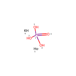 O=P(O)(O)O.[Ho].[KH]